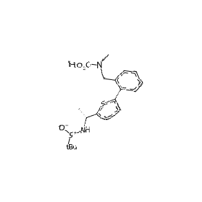 C[C@@H](N[S+]([O-])C(C)(C)C)c1ccc(-c2ccccc2CN(C)C(=O)O)s1